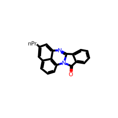 CCCc1cc2c3c(cccc3c1)N1C(=O)c3ccccc3C1=N2